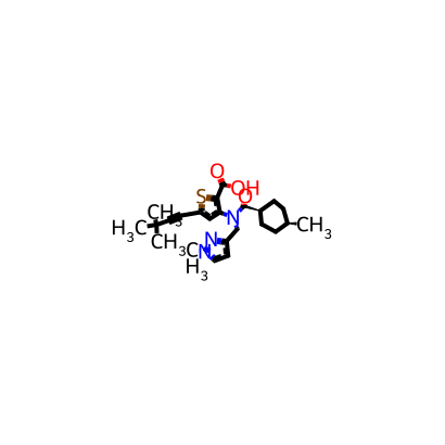 Cn1ccc(CN(c2cc(C#CC(C)(C)C)sc2C(=O)O)C(=O)[C@H]2CC[C@@H](C)CC2)n1